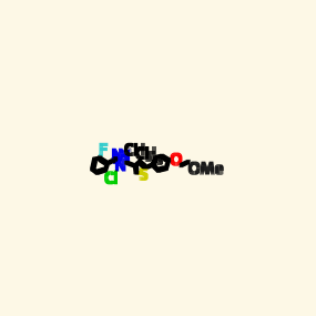 COCCOc1ccc(-c2scc(-c3nc(-c4c(F)cccc4Cl)nn3C)c2C)cc1